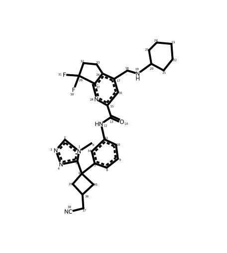 Cn1cnnc1C1(c2cccc(NC(=O)c3cc(CNC4CCCCC4)c4c(n3)C(F)(F)CC4)c2)CC(CC#N)C1